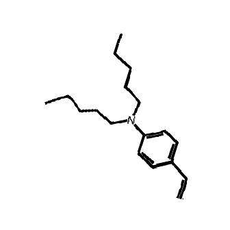 [CH]=Cc1ccc(N(CCCCC)CCCCC)cc1